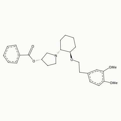 COc1ccc(CCO[C@@H]2CCCC[C@H]2N2CC[C@H](OC(=O)c3ccccc3)C2)cc1OC